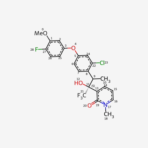 COc1cc(Oc2ccc(C(C)[C@](O)(c3cccn(C)c3=O)C(F)(F)F)c(Cl)c2)ccc1F